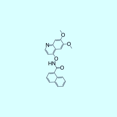 COc1cc2nccc(ONC(=O)c3cccc4ccccc34)c2cc1OC